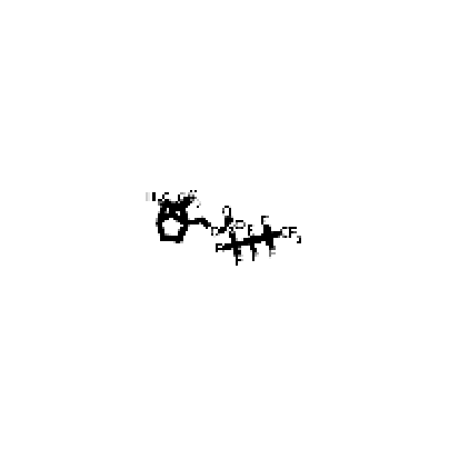 CC1(C)C2CCC1(COS(=O)(=O)C(F)(F)C(F)(F)C(F)(F)C(F)(F)F)C(=O)C2